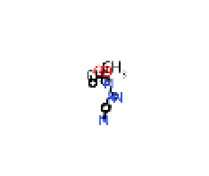 COC(=O)C1(Cc2ccccc2C)CCN(CCc2cncn2Cc2ccc(C#N)cc2)CC1